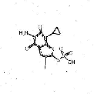 Nn1c(=O)c2cc(F)c(SS(=O)(=O)O)nc2n(C2CC2)c1=O